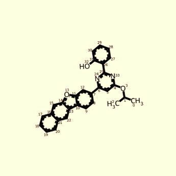 CC(C)Oc1cc(-c2ccc3c(c2)oc2cc4ccccc4cc23)nc(-c2ccccc2O)n1